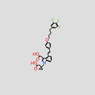 O=C(O)Cc1cn(CC2(CC(=O)O)CC2)c2cccc(/C=C/c3ccc(OCCCCc4cc(F)c(F)c(F)c4)cc3)c12